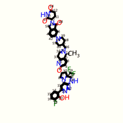 C[C@@H]1c2ccc(O[C@H]3CN4c5cc(-c6cccc(F)c6O)nnc5NC[C@@]4(C(F)F)C3)nc2CCN1CC1CCN(c2ccc3c(c2)C(=O)N([C@H]2CCC(=O)NC2=O)C3)CC1